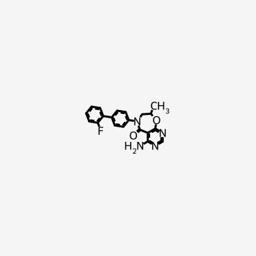 CC1CN(c2ccc(-c3ccccc3F)cc2)C(=O)c2c(N)ncnc2O1